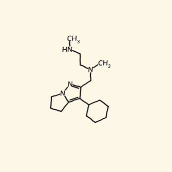 CNCCN(C)Cc1nn2c(c1C1CCCCC1)CCC2